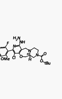 COc1cccc(F)c1-c1nc(NN)c2c(c1Cl)OC[C@H]1CN(C(=O)OC(C)(C)C)CCN1C2